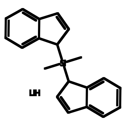 C[Si](C)(C1C=Cc2ccccc21)C1C=Cc2ccccc21.[LiH]